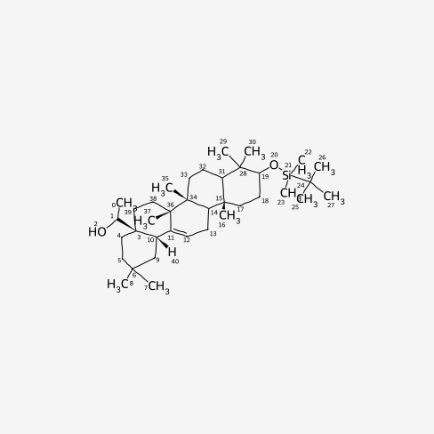 CC(O)[C@]12CCC(C)(C)C[C@H]1C1=CCC3[C@@]4(C)CCC(O[Si](C)(C)C(C)(C)C)C(C)(C)C4CC[C@@]3(C)[C@@]1(C)CC2